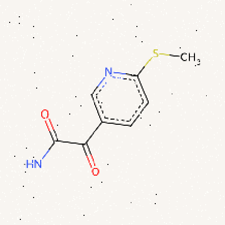 CSc1ccc(C(=O)C([NH])=O)cn1